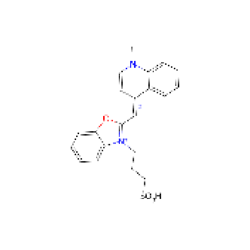 CN1C=C/C(=C\c2oc3ccccc3[n+]2CCCS(=O)(=O)O)c2ccccc21